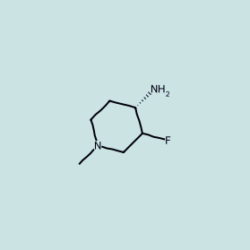 CN1CC[C@H](N)C(F)C1